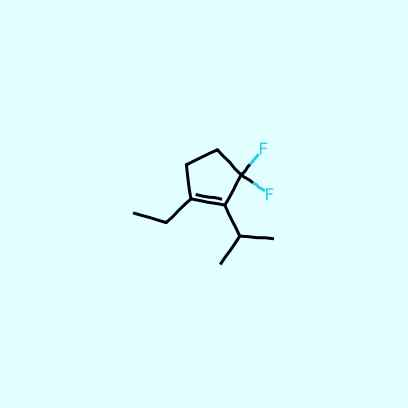 CCC1=C(C(C)C)C(F)(F)CC1